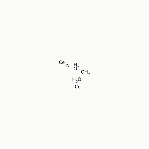 O.O.O.[Ce].[Ce].[Ni]